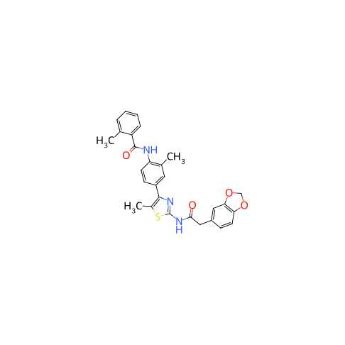 Cc1cc(-c2nc(NC(=O)Cc3ccc4c(c3)OCO4)sc2C)ccc1NC(=O)c1ccccc1C